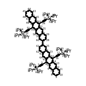 CC(C)[Si](C#Cc1c2cc3ccccc3cc2c(C#C[Si](C(C)C)(C(C)C)C(C)C)c2cc3cc(-c4ccc5cc6c(C#C[Si](C(C)C)(C(C)C)C(C)C)c7cc8ccccc8cc7c(C#C[Si](C(C)C)(C(C)C)C(C)C)c6cc5c4)ccc3cc12)(C(C)C)C(C)C